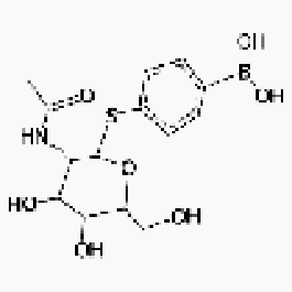 CC(=O)N[C@@H]1C(Sc2ccc(B(O)O)cc2)OC(CO)C(O)C1O